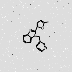 Cc1ccc(-c2nc3ccccc3n2Cc2cccnc2)o1